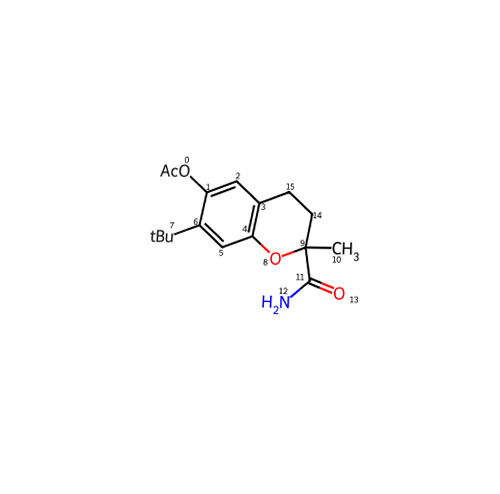 CC(=O)Oc1cc2c(cc1C(C)(C)C)OC(C)(C(N)=O)CC2